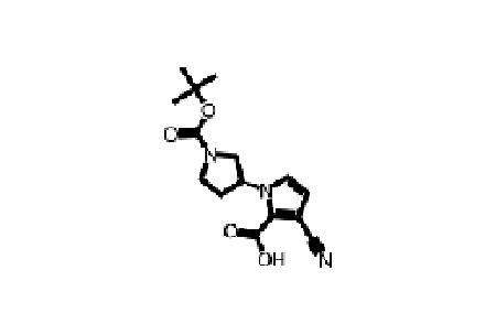 CC(C)(C)OC(=O)N1CC[C@H](n2ccc(C#N)c2C(=O)O)C1